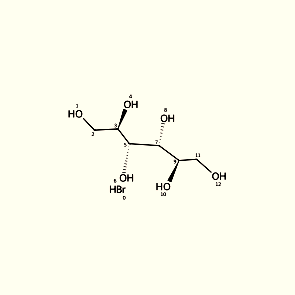 Br.OC[C@@H](O)[C@@H](O)[C@H](O)[C@H](O)CO